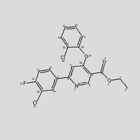 CCOC(=O)c1cnc(-c2ccc(F)c(Cl)c2)cc1Oc1ccccc1Cl